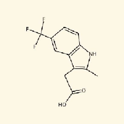 Cc1[nH]c2ccc(C(F)(F)F)cc2c1CC(=O)O